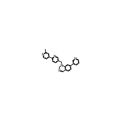 Cc1cc(-c2ccc(CN3CN=Cc4ccc(-c5cccnc5)cc43)cn2)ccn1